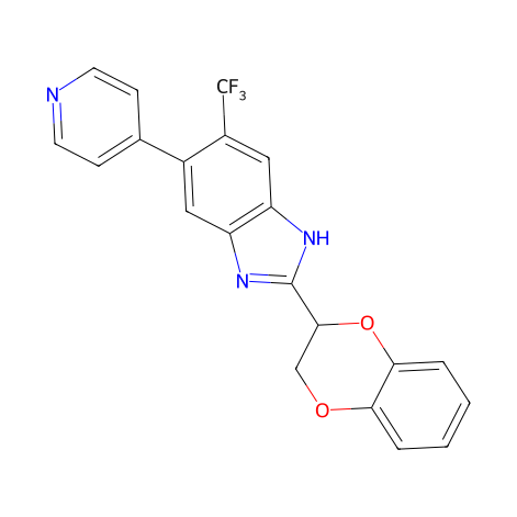 FC(F)(F)c1cc2[nH]c(C3COc4ccccc4O3)nc2cc1-c1ccncc1